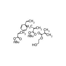 C=C(C)C(=O)OCCCC.C=C(C)C(=O)OCCO.C=CC(=O)OCCCC.C=Cc1ccccc1